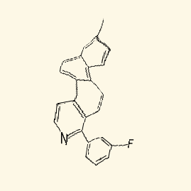 Cc1ccc2c(ccc3c4ccnc(-c5cccc(F)c5)c4ccc23)c1